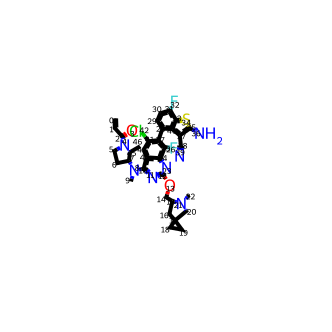 C=CC(=O)N1CCC(N(C)c2nc(OCC3CC4(CC4)CN3C)nc3c(F)c(-c4ccc(F)c5sc(N)c(C#N)c45)c(Cl)cc23)C1C